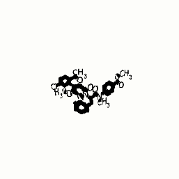 COC(=O)c1ccc(N(C)C(=O)C(Cc2ccccc2)n2nc(OC)c(-c3cc(Cl)ccc3C(C)=O)cc2=O)cc1